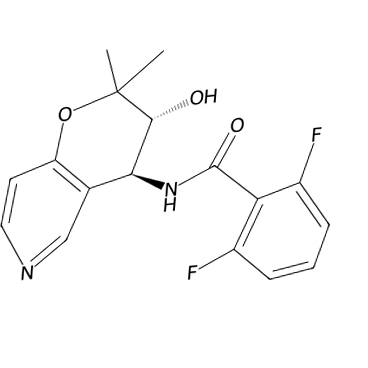 CC1(C)Oc2ccncc2[C@H](NC(=O)c2c(F)cccc2F)[C@H]1O